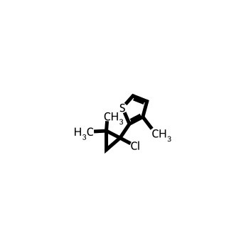 Cc1ccsc1C1(Cl)CC1(C)C